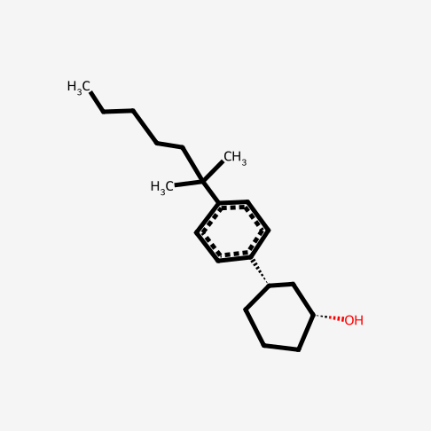 CCCCCC(C)(C)c1ccc([C@H]2CCC[C@@H](O)C2)cc1